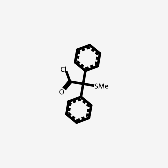 CSC(C(=O)Cl)(c1ccccc1)c1ccccc1